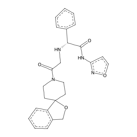 O=C(Nc1ccon1)[C@H](NCC(=O)N1CCC2(CC1)OCc1ccccc12)c1ccccc1